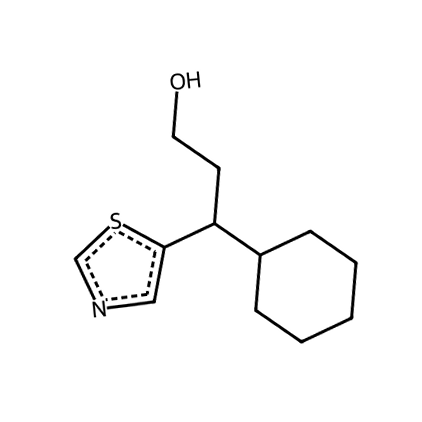 OCCC(c1cncs1)C1CCCCC1